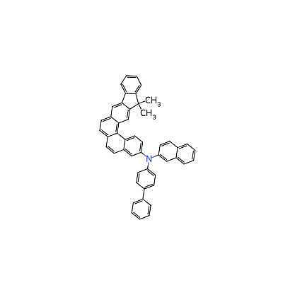 CC1(C)c2ccccc2-c2cc3ccc4ccc5cc(N(c6ccc(-c7ccccc7)cc6)c6ccc7ccccc7c6)ccc5c4c3cc21